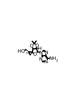 CC1(C)OC2[C@H](O1)C(n1cnc3c(N)ncnc31)O[C@@]21C[C@H]1CO